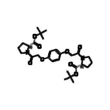 CC(C)(C)OC(=O)[C@H]1CCCN1C(=O)COc1ccc(OCC(=O)N2CCC[C@@H]2C(=O)OC(C)(C)C)cc1